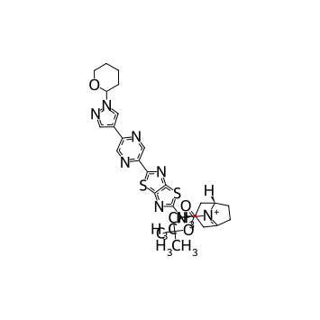 CN(c1nc2sc(-c3cnc(-c4cnn(C5CCCCO5)c4)cn3)nc2s1)[C@@H]1CC2=[N+](C(=O)OC(C)(C)C)[C@@H](CC2)C1